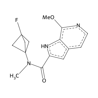 COc1nccc2cc(C(=O)N(C)C34CC(F)(C3)C4)[nH]c12